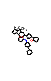 CC1(C)c2ccccc2-c2ccc(-c3ccc4c(oc5ccccc54)c3N(c3ccccc3)c3ccc(-c4ccccc4)cc3)cc21